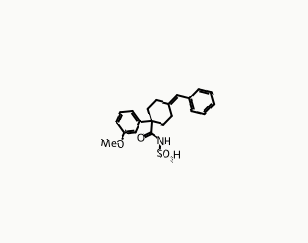 COc1cccc(C2(C(=O)NS(=O)(=O)O)CCC(=Cc3ccccc3)CC2)c1